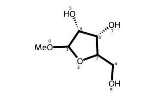 COC1OC(CO)[C@@H](O)[C@H]1O